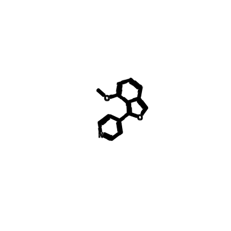 COc1cccc2coc(-c3ccncc3)c12